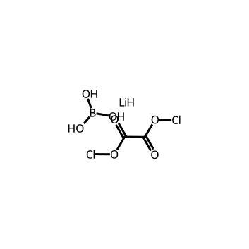 O=C(OCl)C(=O)OCl.OB(O)O.[LiH]